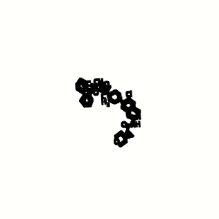 CC(C)(C)[Si](O[C@@H]1COC[C@]1(C)N1CCN(c2cc3cc(NC(=O)[C@H]4CC45CCOCC5)ncc3cc2Cl)CC1)(c1ccccc1)c1ccccc1